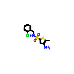 Cc1sc(S(=O)(=O)NCc2ccccc2Cl)cc1N